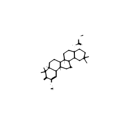 [C-]#[N+]C1=C[C@]2(C)[C@H]3CC(=O)[C@@H]4[C@@H]5CC(C)(C)CC[C@]5(NC(=O)OC)CC[C@@]4(C)[C@]3(C)CC[C@H]2C(C)(C)C1=O